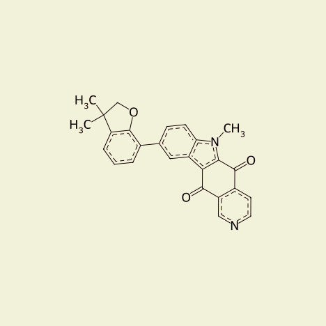 Cn1c2c(c3cc(-c4cccc5c4OCC5(C)C)ccc31)C(=O)c1cnccc1C2=O